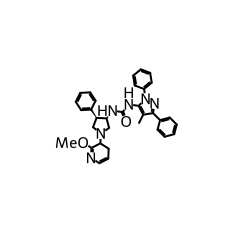 COC1=NC=CCC1N1C[C@@H](NC(=O)Nc2c(C)c(-c3ccccc3)nn2-c2ccccc2)[C@H](c2ccccc2)C1